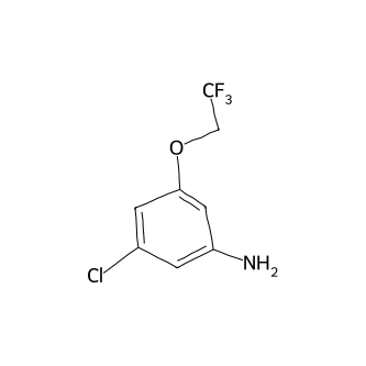 Nc1cc(Cl)cc(OCC(F)(F)F)c1